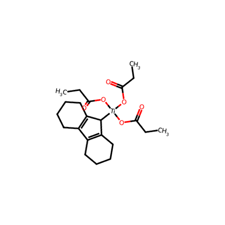 CCC(=O)[O][Ti]([O]C(=O)CC)([O]C(=O)CC)[CH]1C2=C(CCCC2)C2=C1CCCC2